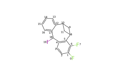 Fc1ccc2c(c1F)C1CC(C1)c1ccccc1C2I